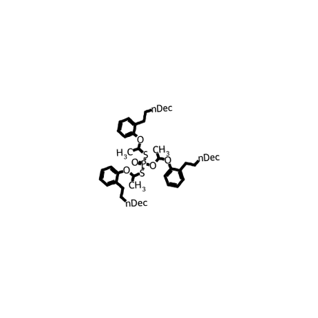 CCCCCCCCCCCCc1ccccc1OC(C)OP(=O)(SC(C)Oc1ccccc1CCCCCCCCCCCC)SC(C)Oc1ccccc1CCCCCCCCCCCC